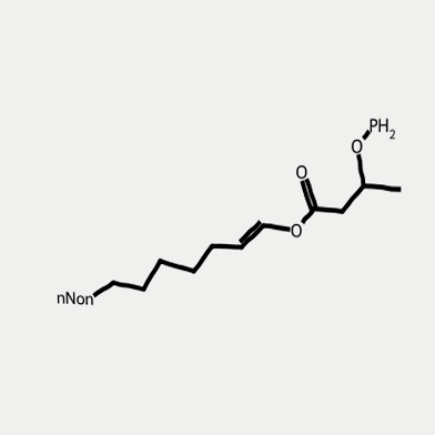 CCCCCCCCCCCCCCC=COC(=O)CC(C)OP